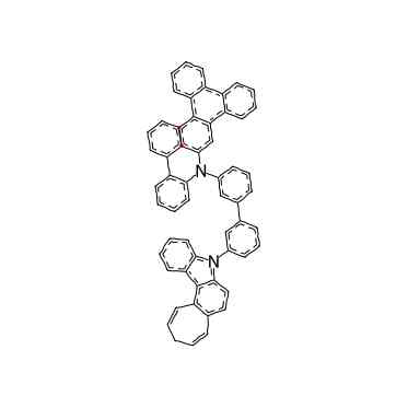 C1=Cc2ccc3c(c2C=CC1)c1ccccc1n3-c1cccc(-c2cccc(N(c3ccc4c5ccccc5c5ccccc5c4c3)c3ccccc3-c3ccccc3)c2)c1